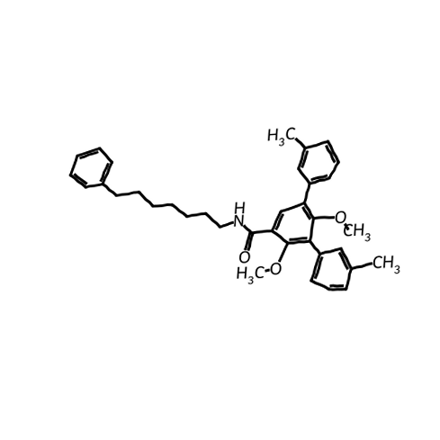 COc1c(C(=O)NCCCCCCCc2ccccc2)cc(-c2cccc(C)c2)c(OC)c1-c1cccc(C)c1